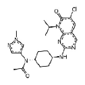 CC(=O)N(c1cnn(C)c1)[C@H]1CC[C@H](Nc2ncc3cc(Cl)c(=O)n(C(C)C)c3n2)CC1